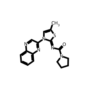 Cc1cn(-c2cnc3ccccc3n2)c(=NC(=O)N2CCCC2)s1